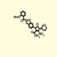 COc1ccccc1C(=O)NCc1ccc(C2NN(C3CCCOC3)C(N)=C2C(N)=O)cc1F